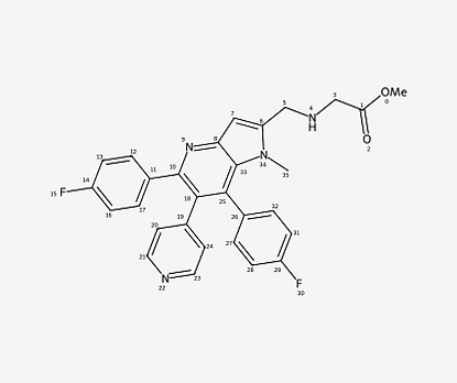 COC(=O)CNCc1cc2nc(-c3ccc(F)cc3)c(-c3ccncc3)c(-c3ccc(F)cc3)c2n1C